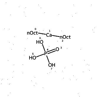 CCCCCCC[CH2][Ca][CH2]CCCCCCC.O=P(O)(O)O